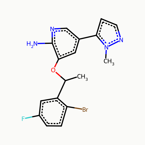 CC(Oc1cc(-c2ccnn2C)cnc1N)c1cc(F)ccc1Br